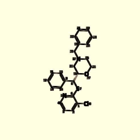 Clc1cccnc1SC(c1ccccc1)[C@@H]1CN(Cc2ccccc2)CCO1